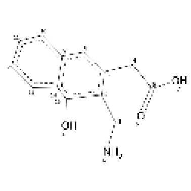 NCc1c(CC(=O)O)cc2ccccc2c1O